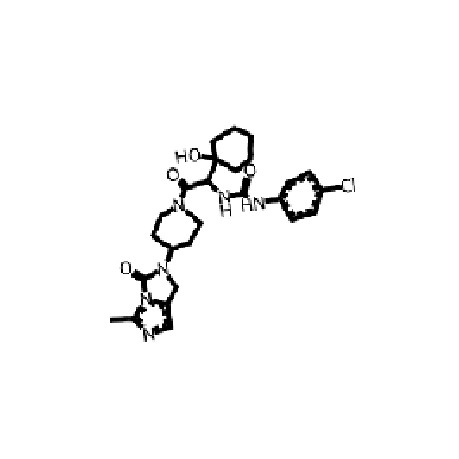 Cc1ncc2n1C(=O)N(C1CCN(C(=O)C(NC(=O)Nc3ccc(Cl)cc3)C3(O)CCCCC3)CC1)C2